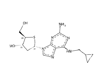 Nc1nc(NCC2CC2)c2ncn([C@@H]3C[C@H](O)[C@@H](CO)S3)c2n1